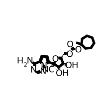 CC1(OC(=O)OC[C@H]2O[C@@](C#N)(c3ccc4c(N)ncnn34)[C@H](O)[C@@H]2O)CCCCCC1